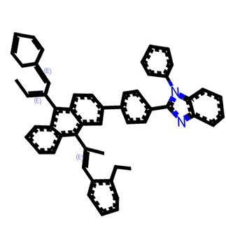 C/C=C(\C=C1\C=CC=CC1)c1c2ccccc2c(/C(C)=C/c2ccccc2CC)c2cc(-c3ccc(-c4nc5ccccc5n4-c4ccccc4)cc3)ccc12